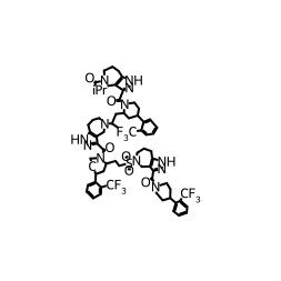 CC(C)C(=O)N1CCCc2[nH]nc(C(=O)N3CCC(c4ccccc4C(F)(F)F)CC3CC(C)N3CCCc4[nH]nc(C(=O)N5CCC(c6ccccc6C(F)(F)F)CC5CCS(=O)(=O)N5CCCc6[nH]nc(C(=O)N7CCC(c8ccccc8C(F)(F)F)CC7)c6C5)c4C3)c2C1